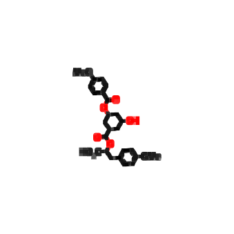 COc1ccc(CC(OC(=O)C2CC(O)CC(OC(=O)c3ccc(OC)cc3)C2)C(=O)O)cc1